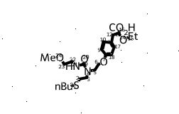 CCCCSCCN(CCOc1ccc(CC(OCC)C(=O)O)cc1)C(=O)NCCOC